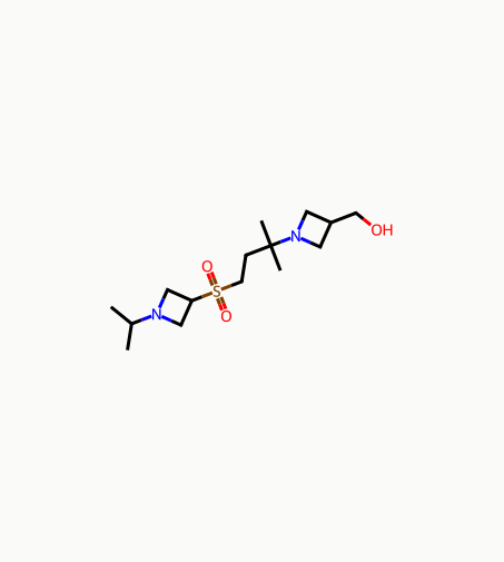 CC(C)N1CC(S(=O)(=O)CCC(C)(C)N2CC(CO)C2)C1